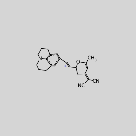 CC1=CC(=C(C#N)C#N)CC(/C=C/c2cc3c4c(c2)CCCN4CCC3)O1